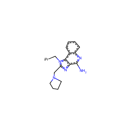 CC(C)Cn1c(CN2CCCC2)nc2c(N)nc3ccccc3c21